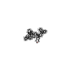 c1ccc2cc3c(cc2c1)c1ccc(-n2c4ccccc4c4ccccc42)cc1n3-c1cccc2c(-c3nc4ccccc4nc3-c3cccc4c3oc3ccccc34)cccc12